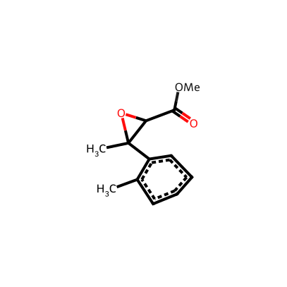 COC(=O)C1OC1(C)c1ccccc1C